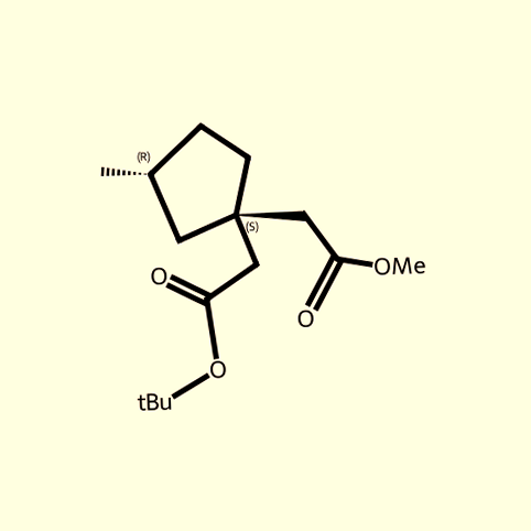 COC(=O)C[C@]1(CC(=O)OC(C)(C)C)CC[C@@H](C)C1